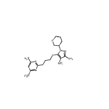 Cc1nn(C2CCCOC2)c(OCCCc2nc(N)cc(N)n2)c1[N+](=O)[O-]